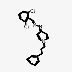 Clc1cccc(Cl)c1/C=N/N=c1ccn(CCCc2ccccc2)cc1